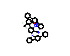 N#Cc1cccc(C(F)(F)F)c1-c1ccc(-n2c3ccccc3c3ccc(-c4ccccc4)cc32)c(C#N)c1-n1c2ccccc2c2ccc(-c3ccccc3)cc21